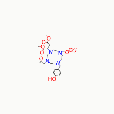 COOOCN1CCN(Cc2ccc(O)cc2)CCN(CC(C)=O)CCN(C(CC(=O)OC)C(=O)OC)CC1